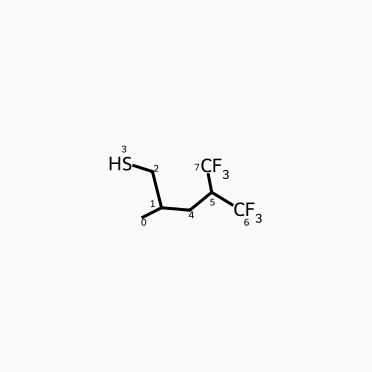 CC(CS)CC(C(F)(F)F)C(F)(F)F